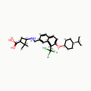 CC(C)[C@H]1CC[C@@H](Oc2ccc3ccc(CNC4CC(C(=O)O)C4(C)C)cc3c2C(F)(F)F)CC1